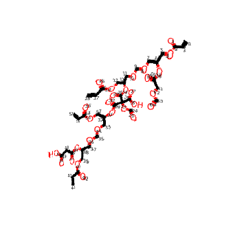 C=CC(=O)OCC(COCOCC(COC(=O)C=C)OC(=O)C(OC=O)(C(=O)O)C(=O)OC(COCOCC(COC(=O)C=C)OC(=O)CC(=O)O)COC(=O)C=C)OC(=O)COC=O